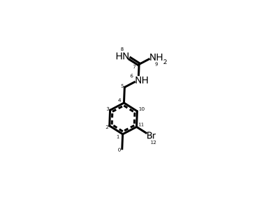 Cc1ccc(CNC(=N)N)cc1Br